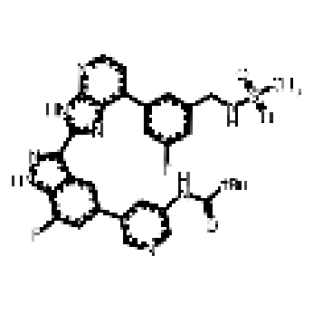 CC(C)(C)C(=O)Nc1cncc(-c2cc(F)c3[nH]nc(-c4nc5c(-c6cc(F)cc(CNS(C)(=O)=O)c6)ccnc5[nH]4)c3c2)c1